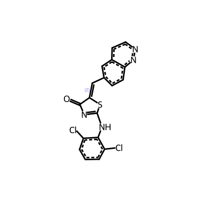 O=C1N=C(Nc2c(Cl)cccc2Cl)S/C1=C\c1ccc2nnccc2c1